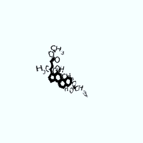 CCOC(=O)CC[C@@H](C)C1CCC2C3CC[C@@H]4C[C@H](OC(C)=O)CC[C@]4(C)C3C[C@H](O)[C@@]21C